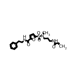 C=CC(=O)NCCCN(C)S(=O)(=O)c1ccc(C(=O)NCCc2ccccc2)o1